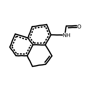 O=CNc1ccc2cccc3c2c1C=CC3